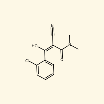 CN(C)C(=O)C(C#N)=C(O)c1ccccc1Cl